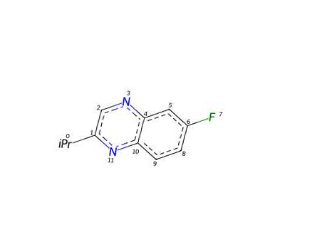 CC(C)c1cnc2cc(F)ccc2n1